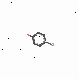 N#[14C]c1ccc(Br)cc1